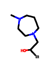 CCC(O)CN1CCCN(C)CC1